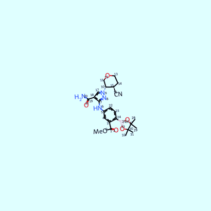 COC(=O)c1cc(Nc2nn([C@@H]3COCC[C@H]3C#N)cc2C(N)=O)ccc1B1OC(C)(C)C(C)(C)O1